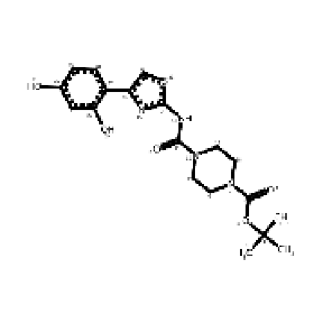 CC(C)(C)OC(=O)N1CCN(C(=O)Nc2nc(-c3ccc(O)cc3O)cs2)CC1